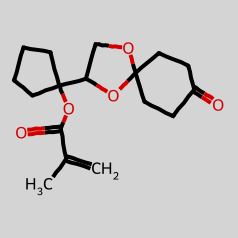 C=C(C)C(=O)OC1(C2COC3(CCC(=O)CC3)O2)CCCC1